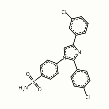 NS(=O)(=O)c1ccc(-n2cc(-c3cccc(Cl)c3)nc2-c2ccc(Cl)cc2)cc1